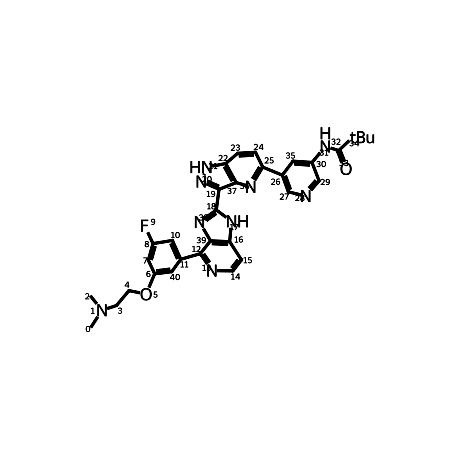 CN(C)CCOc1cc(F)cc(-c2nccc3[nH]c(-c4n[nH]c5ccc(-c6cncc(NC(=O)C(C)(C)C)c6)nc45)nc23)c1